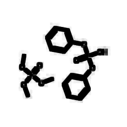 COP(=O)(OC)OC.O=P(O)(Oc1ccccc1)Oc1ccccc1